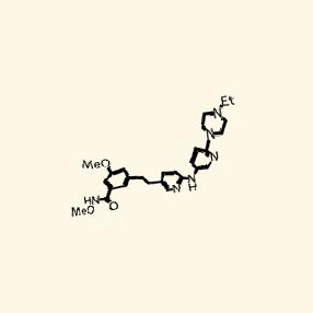 CCN1CCN(c2ccc(Nc3ccc(CCc4cc(OC)cc(C(=O)NOC)c4)cn3)cn2)CC1